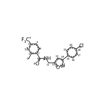 Cc1nc(C(F)(F)F)ccc1C(=O)NCc1cc(-c2ccc(Cl)cc2)no1